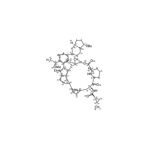 CCCCC1CC[C@@H]2CN(c3cnc([C@H](C)OC)c(-c4c5c6cc(ccc6n4CC)-c4csc(n4)C[C@H](NC(=O)[C@H]4C[C@@H]4C)C(=O)N4CCC[C@H](N4)C(=O)OCC(C)(C)C5)c3)CCN12